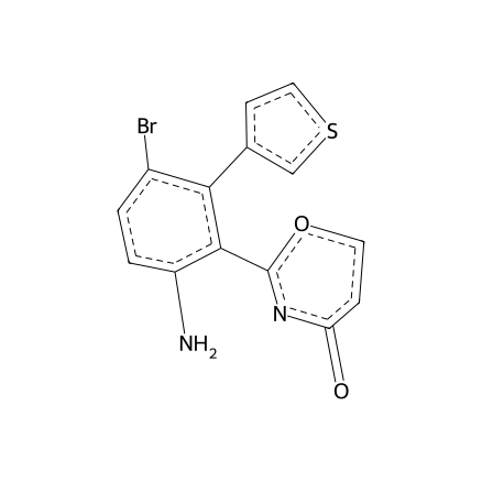 Nc1ccc(Br)c(-c2ccsc2)c1-c1nc(=O)cco1